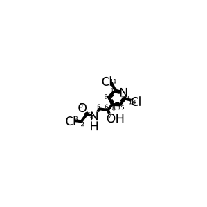 O=C(CCl)NCC(O)c1cc(Cl)nc(Cl)c1